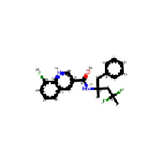 CC(F)(F)CC(C)(Cc1ccccc1)NC(=O)c1cnc2c(F)cccc2c1